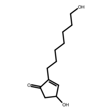 O=C1CC(O)C=C1CCCCCCCO